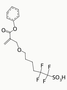 C=C(COCCCCC(F)(F)C(F)(F)S(=O)(=O)O)C(=O)Oc1ccccc1